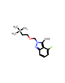 C[Si](C)(C)CCOCn1nc2cccc(F)c2c1C=O